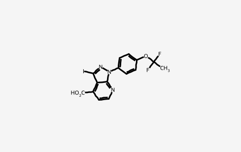 CC(F)(F)Oc1ccc(-n2nc(I)c3c(C(=O)O)ccnc32)cc1